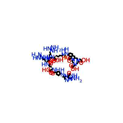 N=C(N)NCCC[C@H](NC(=O)CC[C@H](NC(=O)c1ccc(NCc2cnc3nc(N)[nH]c(=O)c3n2)cc1)C(=O)O)C(=O)N[C@@H](CCCNC(=N)N)C(=O)N[C@@H](CCCCNC(=S)Nc1ccc(CC2CN(CC(=O)O)CCN(CC(=O)O)CCN2CC(=O)O)cc1)C(=O)O